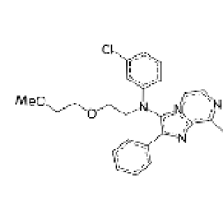 COCCOCCN(c1cccc(Cl)c1)c1c(-c2ccccc2)nc2c(C)nccn12